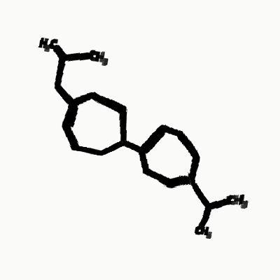 CC(C)CC1=CCCC(C2=CCCN(C(C)C)CC2)CC1